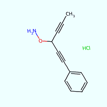 CC#CC(C#Cc1ccccc1)ON.Cl